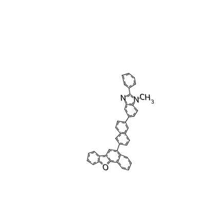 Cn1c(-c2ccccc2)nc2cc(-c3ccc4cc(-c5cc6c7ccccc7oc6c6ccccc56)ccc4c3)ccc21